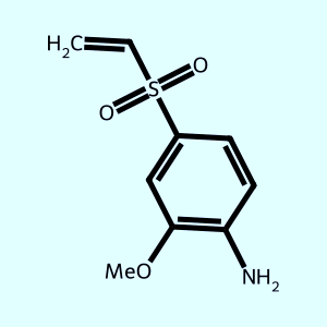 C=CS(=O)(=O)c1ccc(N)c(OC)c1